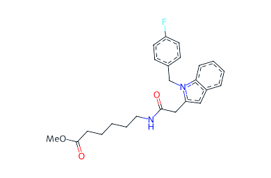 COC(=O)CCCCCNC(=O)Cc1cc2ccccc2n1Cc1ccc(F)cc1